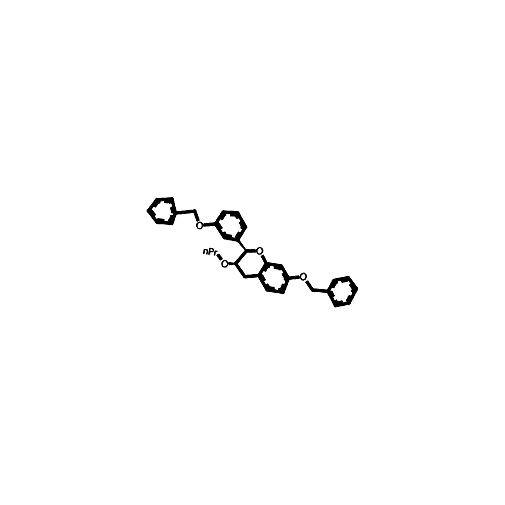 CCCO[C@@H]1Cc2ccc(OCc3ccccc3)cc2O[C@@H]1c1cccc(OCc2ccccc2)c1